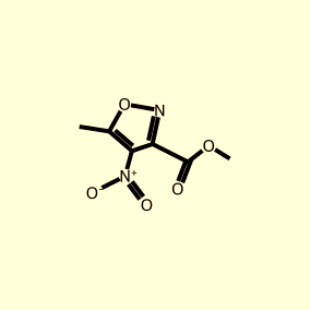 COC(=O)c1noc(C)c1[N+](=O)[O-]